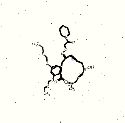 CCOCOc1cc2c(c(OCOCC)c1)C(=O)O[C@H](C)C/C=C/[C@@H](O)C/C=C/C(=NOCC(=O)N1CCCCC1)C2